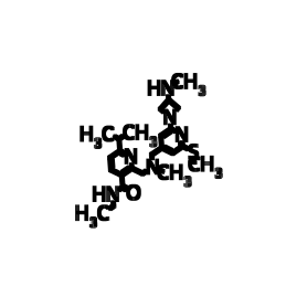 CCNC(=O)c1ccc(C(C)C)nc1CN(C)Cc1cc(SC)nc(N2CC(NC)C2)c1